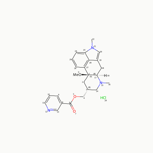 CO[C@]12C[C@@H](COC(=O)c3cccnc3)CN(C)[C@@H]1Cc1cn(C)c3cccc2c13.Cl